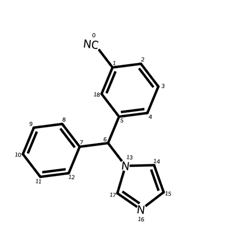 N#Cc1cccc(C(c2ccccc2)n2ccnc2)c1